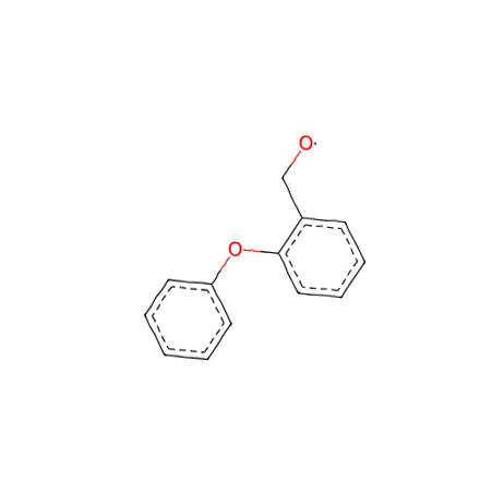 [O]Cc1ccccc1Oc1ccccc1